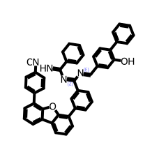 N#Cc1ccc(-c2cccc3c2oc2c(-c4cccc(C(=N/C(=N)C5=CC=CCC5)/N=C/c5ccc(-c6ccccc6)c(O)c5)c4)cccc23)cc1